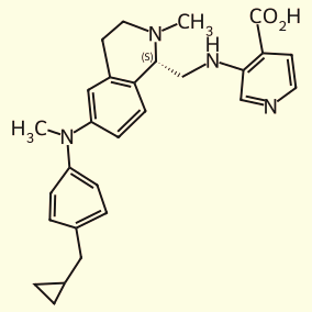 CN(c1ccc(CC2CC2)cc1)c1ccc2c(c1)CCN(C)[C@@H]2CNc1cnccc1C(=O)O